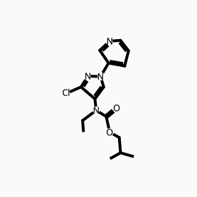 CCN(C(=O)OCC(C)C)c1cn(-c2cccnc2)nc1Cl